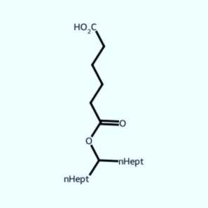 CCCCCCCC(CCCCCCC)OC(=O)CCCCC(=O)O